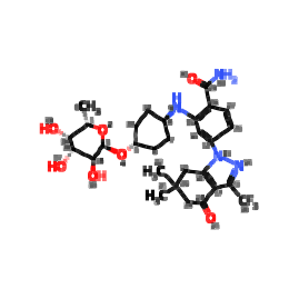 C[C@@H]1O[C@@H](O[C@H]2CC[C@H](Nc3cc(-n4nc(C(F)(F)F)c5c4CC(C)(C)CC5=O)ccc3C(N)=O)CC2)[C@@H](O)[C@H](O)[C@@H]1O